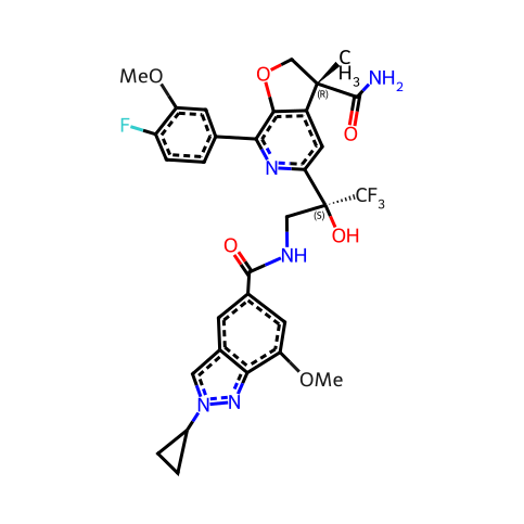 COc1cc(-c2nc([C@@](O)(CNC(=O)c3cc(OC)c4nn(C5CC5)cc4c3)C(F)(F)F)cc3c2OC[C@]3(C)C(N)=O)ccc1F